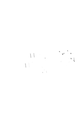 O=C(O)C1(O)CCn2nncc2C1